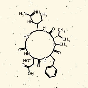 CCC(NC(=N)N)[C@@H]1CNCC(=O)N[C@](O)(CC(=O)O)C(=O)N[C@H](Cc2ccccc2)C(=O)N(C)[C@@H](C(C)C)C(=O)N1